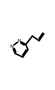 C=CCc1[c]ccnn1